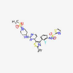 CC(C)c1nc(-c2cccc(NS(=O)(=O)c3nccs3)c2F)c(-c2ccnc(NC3CCN(S(C)(=O)=O)CC3)n2)s1